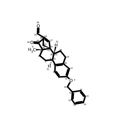 C[C@]12CC[C@@H]3c4ccc(OCc5ccccc5)cc4CC[C@H]3[C@@]1(CCC=O)C=CC2=O